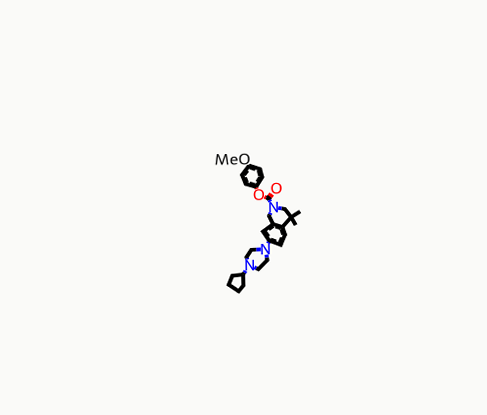 COc1ccc(OC(=O)N2Cc3cc(N4CCN(C5CCCC5)CC4)ccc3C(C)(C)C2)cc1